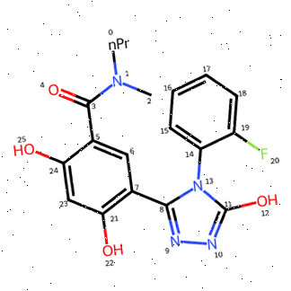 CCCN(C)C(=O)c1cc(-c2nnc(O)n2-c2ccccc2F)c(O)cc1O